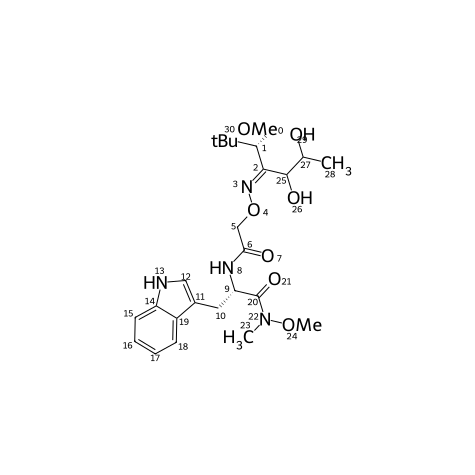 CO[C@H](/C(=N/OCC(=O)N[C@@H](Cc1c[nH]c2ccccc12)C(=O)N(C)OC)C(O)C(C)O)C(C)(C)C